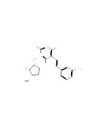 COc1cccc(/C=C/c2c(Cl)nc(N)nc2N[C@@H]2C[C@H](CO)[C@@H](O)[C@H]2O)c1